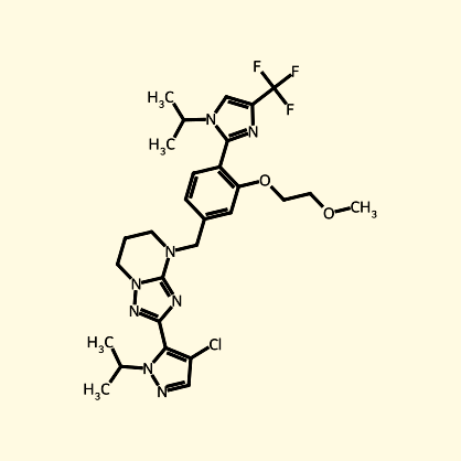 COCCOc1cc(CN2CCCn3nc(-c4c(Cl)cnn4C(C)C)nc32)ccc1-c1nc(C(F)(F)F)cn1C(C)C